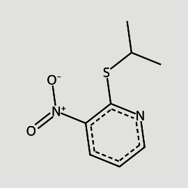 CC(C)Sc1ncccc1[N+](=O)[O-]